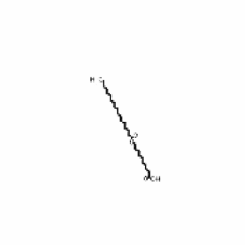 CCCCCCCCCCCCCCCCCC(=O)OCCCCCCCCCC(=O)O